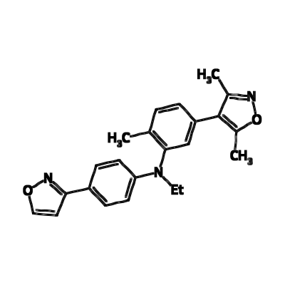 CCN(c1ccc(-c2ccon2)cc1)c1cc(-c2c(C)noc2C)ccc1C